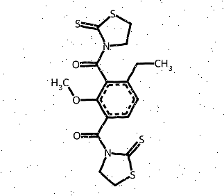 CCc1ccc(C(=O)N2CCSC2=S)c(OC)c1C(=O)N1CCSC1=S